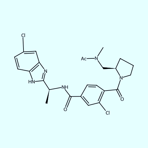 CC(=O)N(C)C[C@H]1CCCN1C(=O)c1ccc(C(=O)N[C@@H](C)c2nc3cc(Cl)ccc3[nH]2)cc1Cl